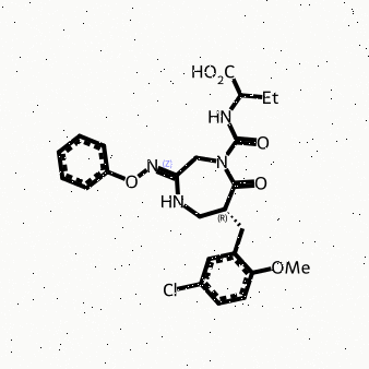 CCC(NC(=O)N1C/C(=N/Oc2ccccc2)NC[C@@H](Cc2cc(Cl)ccc2OC)C1=O)C(=O)O